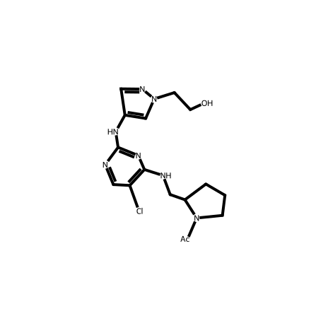 CC(=O)N1CCCC1CNc1nc(Nc2cnn(CCO)c2)ncc1Cl